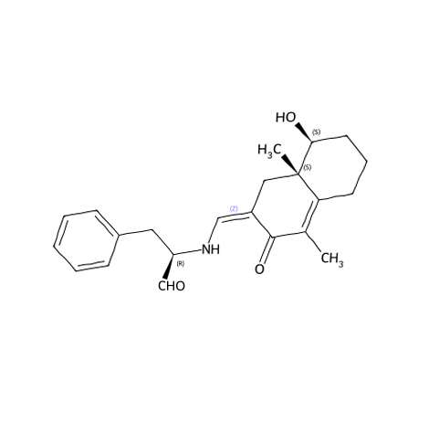 CC1=C2CCC[C@H](O)[C@@]2(C)C/C(=C/N[C@@H](C=O)Cc2ccccc2)C1=O